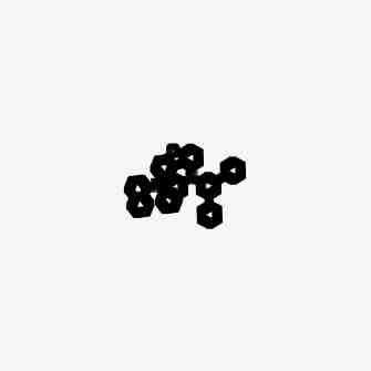 c1ccc(-c2cc(-c3ccccc3)cc(N(c3ccccc3)c3cccc4oc5ccc(N(c6ccccc6)c6cccc7ccccc67)cc5c34)c2)cc1